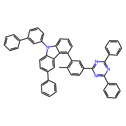 Cc1ccc(-c2nc(-c3ccccc3)nc(-c3ccccc3)n2)cc1-c1cccc2c1c1cc(-c3ccccc3)ccc1n2-c1cccc(-c2ccccc2)c1